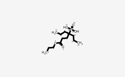 CCCOC(=O)CCC(CCC)(CCC)P(=O)(O)O